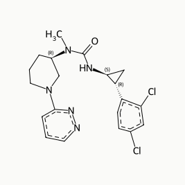 CN(C(=O)N[C@H]1C[C@@H]1c1ccc(Cl)cc1Cl)[C@@H]1CCCN(c2cccnn2)C1